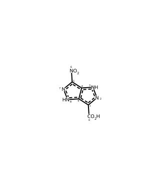 O=C(O)c1n[nH]c2c([N+](=O)[O-])n[nH]c12